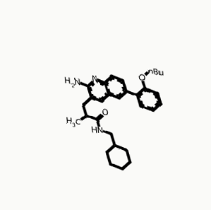 CCCCOc1ccccc1-c1ccc2nc(N)c(CC(C)C(=O)NCC3CCCCC3)cc2c1